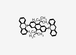 C[Si](C)(C)c1c2ccc(N3c4ccccc4Cc4ccccc43)cc2c([Si](C)(C)C)c2ccc(N3c4ccccc4Cc4ccccc43)cc12